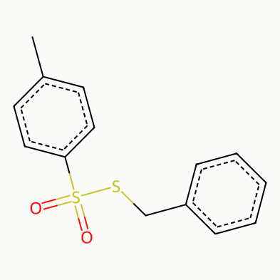 Cc1ccc(S(=O)(=O)SCc2ccccc2)cc1